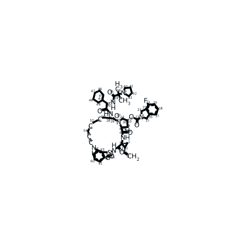 C=C[C@@H]1C[C@@]12NC(=O)[C@@H]1C[C@@H](OC(=O)N3Cc4cccc(F)c4C3)CN1C(=O)[C@@H](NC(=O)[C@@H](NC(=O)C(C)(C)N1CCCC1)C1CCCCC1)CCCCCCCNc1ccccc1S(=O)(=O)NC2=O